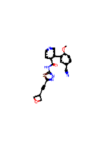 COc1ccc(C#N)cc1-c1cnccc1C(=O)Nc1nnc(C#CC2COC2)s1